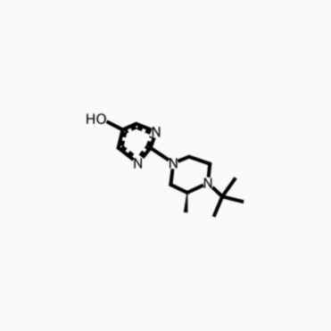 C[C@H]1CN(c2ncc(O)cn2)CCN1C(C)(C)C